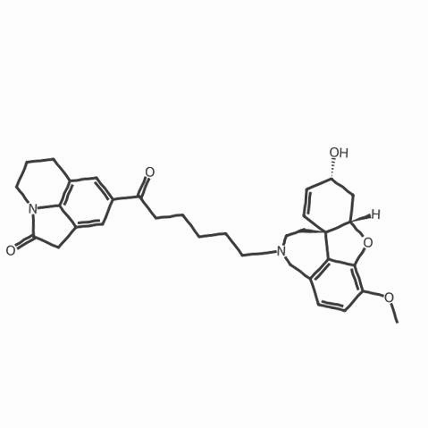 COc1ccc2c3c1O[C@H]1C[C@@H](O)C=C[C@@]31CCN(CCCCCC(=O)c1cc3c4c(c1)CC(=O)N4CCC3)C2